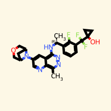 Cc1nnc(N[C@H](C)c2cccc(C(F)(F)C3(O)CC3)c2F)c2cc(N3C4COCC3C4)cnc12